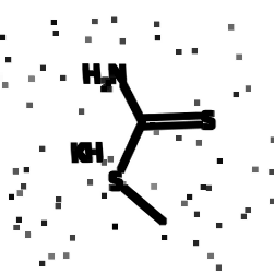 CSC(N)=S.[KH]